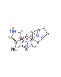 N#Cc1ccc(N2C3CCC2CC(Nc2cc[nH]c2)C3)nc1